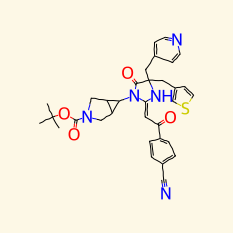 CC(C)(C)OC(=O)N1CC2C(C1)C2N1C(=O)C(Cc2ccncc2)(Cc2ccsc2)NC1=CC(=O)c1ccc(C#N)cc1